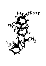 C=C(NC(=O)C1=C(C)CCCC1)N1CCC(C)(c2ccc(NCCCCCCC)cc2C)CC1